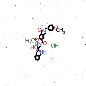 CCOc1cc2c(cc1C(=O)NC[C@@H](O)[C@@H]1Cc3ccccc3CN1)CN(Cc1ccc(OC)cc1)C2=O.Cl